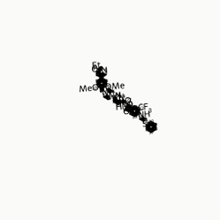 CCOc1cncc(-c2cc(OC)c(CN3CCN(c4ccc(C(=O)NS(=O)(=O)c5ccc(NCCSc6ccccc6)c(C(F)(F)F)c5)nn4)CC3)c(OC)c2)c1